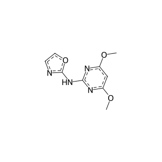 COc1cc(OC)nc(Nc2ncco2)n1